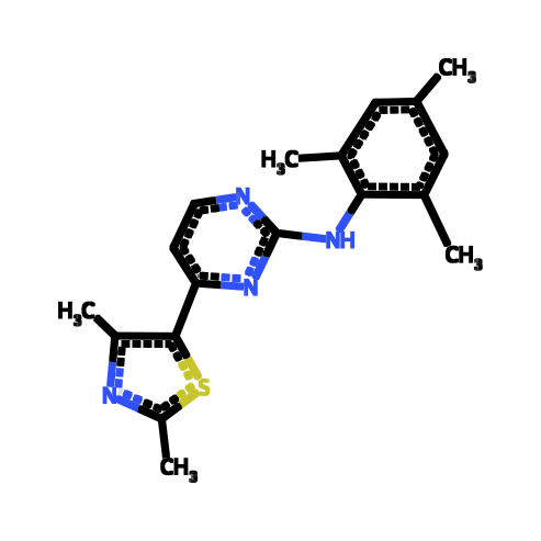 Cc1cc(C)c(Nc2nccc(-c3sc(C)nc3C)n2)c(C)c1